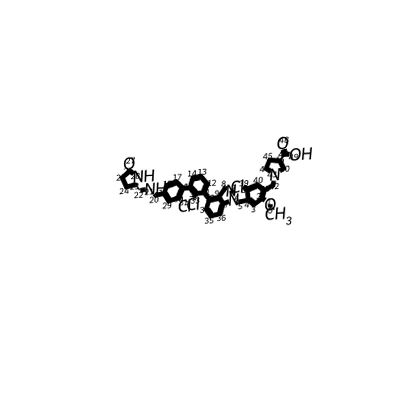 COc1cc(Cn2ncc3c(-c4cccc(-c5ccc(CNC[C@@H]6CCC(=O)N6)cc5Cl)c4Cl)cccc32)c(Cl)cc1CN1CC[C@@H](C(=O)O)C1